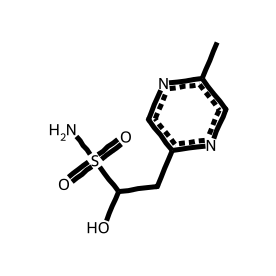 Cc1cnc(CC(O)S(N)(=O)=O)cn1